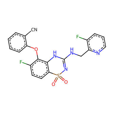 N#Cc1ccccc1Oc1c(F)ccc2c1NC(NCc1ncccc1F)=NS2(=O)=O